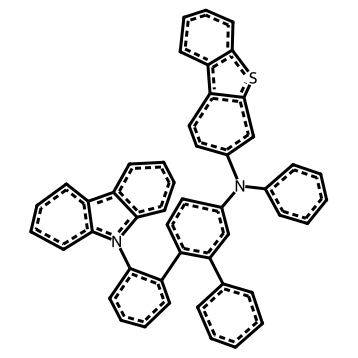 c1ccc(-c2cc(N(c3ccccc3)c3ccc4c(c3)sc3ccccc34)ccc2-c2ccccc2-n2c3ccccc3c3ccccc32)cc1